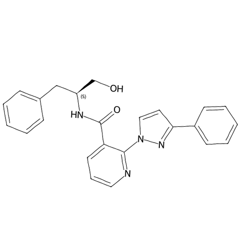 O=C(N[C@H](CO)Cc1ccccc1)c1cccnc1-n1ccc(-c2ccccc2)n1